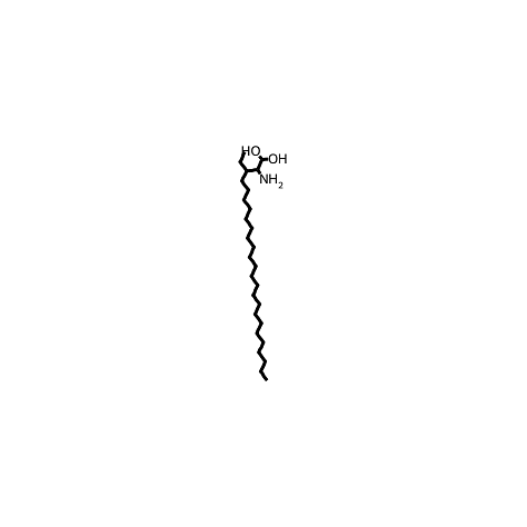 CCCCCCCCCCCCCCCCCCCCCCC(CC)C(N)C(O)O